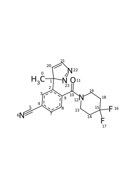 CC1(c2cc(C#N)ccc2C(=O)N2CCC(F)(F)CC2)C=CN=N1